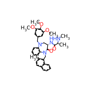 CN[C@@H](C)C(=O)N[C@H]1CN(Cc2cc(OC)c(OC)c(OC)c2)c2ccccc2N(Cc2c(C)ccc3ccccc23)C1=O